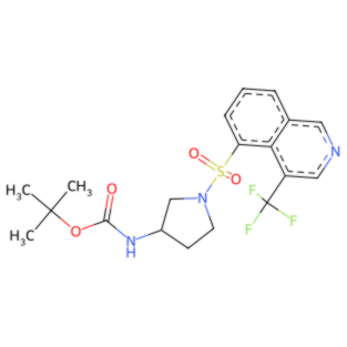 CC(C)(C)OC(=O)NC1CCN(S(=O)(=O)c2cccc3cncc(C(F)(F)F)c23)C1